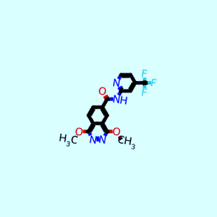 COc1nnc(OC)c2cc(C(=O)Nc3cc(C(F)(F)F)ccn3)ccc12